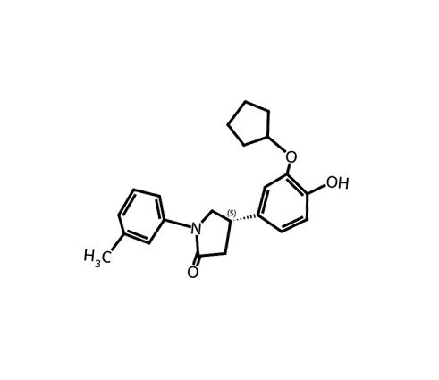 Cc1cccc(N2C[C@H](c3ccc(O)c(OC4CCCC4)c3)CC2=O)c1